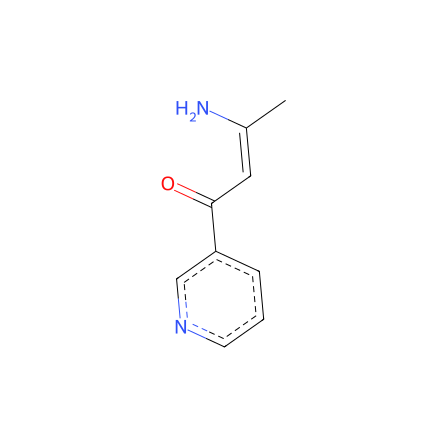 CC(N)=CC(=O)c1cccnc1